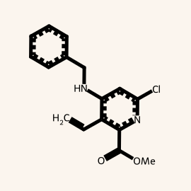 C=Cc1c(NCc2ccccc2)cc(Cl)nc1C(=O)OC